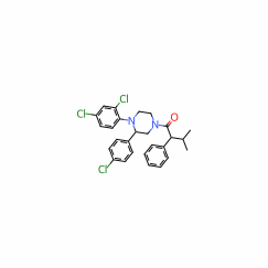 CC(C)C(C(=O)N1CCN(c2ccc(Cl)cc2Cl)C(c2ccc(Cl)cc2)C1)c1ccccc1